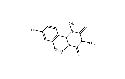 CN1C(=O)N(C)C(c2ccc(N)cc2O)N(C)C1=O